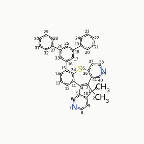 CC1(C)C2=C(c3cnccc31)c1cccc(-c3cc(-c4ccccc4)cc(-c4ccccc4)c3)c1Sc1ccncc12